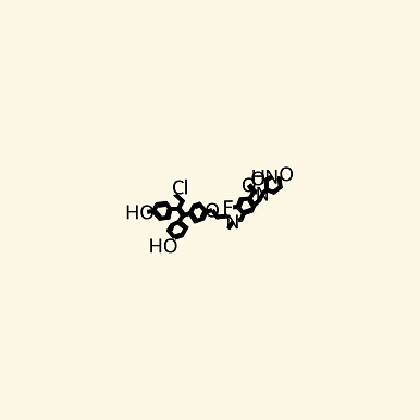 CN(CCOc1ccc(/C(=C(\CCCl)c2ccc(O)cc2)c2ccc(O)cc2)cc1)Cc1cc2c(cc1F)C(=O)N(C1CCC(=O)NC1=O)C2